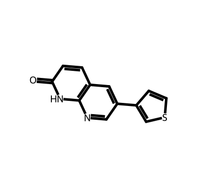 O=c1ccc2cc(-c3ccsc3)cnc2[nH]1